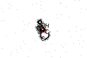 O=S(=O)(C1CCCCCCCCCCCC1)N1CCC[C@H]1C(O)(c1ccccc1)c1ccccc1